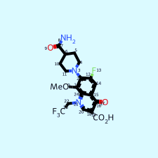 COc1c(N2CCC(C(N)=O)CC2)c(F)cc2c(=O)c(C(=O)O)cn(CC(F)(F)F)c12